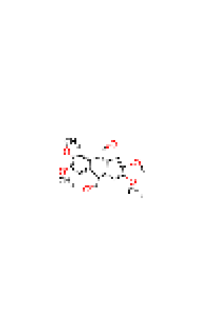 COc1cc2c(C=O)c3cc(OC)c(OC)cc3c(C=O)c2cc1OC